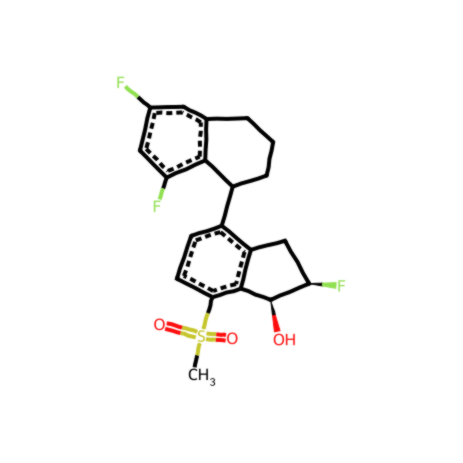 CS(=O)(=O)c1ccc(C2CCCc3cc(F)cc(F)c32)c2c1[C@H](O)[C@H](F)C2